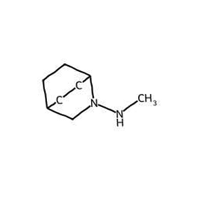 CNN1CC2CCC1CC2